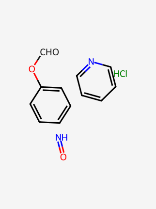 Cl.N=O.O=COc1ccccc1.c1ccncc1